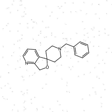 c1ccc(CN2CCC3(CC2)OCc2ncccc23)cc1